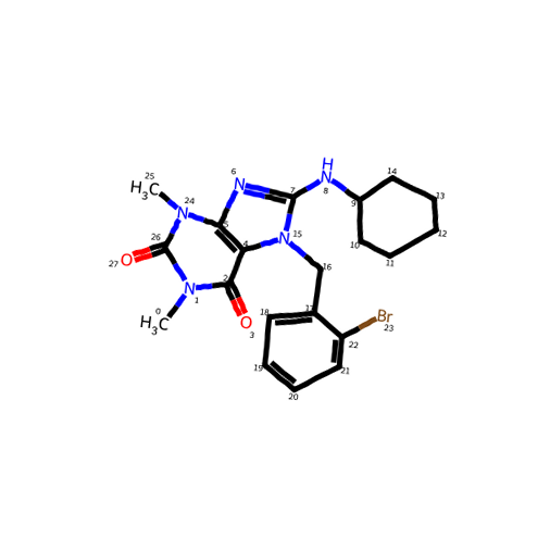 Cn1c(=O)c2c(nc(NC3CCCCC3)n2Cc2ccccc2Br)n(C)c1=O